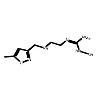 CN/C(=N/CCNCc1cc(C)on1)NC#N